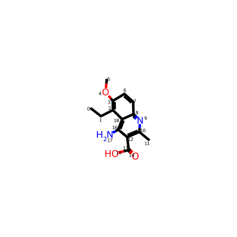 CCc1c(OC)ccc2nc(C)c(C(=O)O)c(N)c12